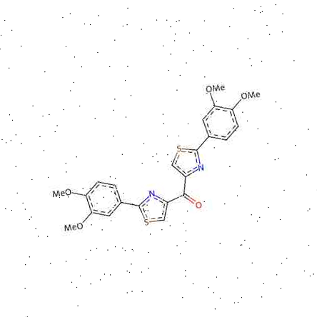 COc1ccc(-c2nc(C(=O)c3csc(-c4ccc(OC)c(OC)c4)n3)cs2)cc1OC